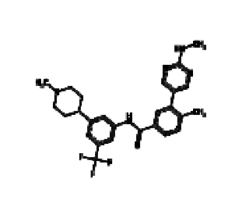 CNc1ncc(-c2cc(C(=O)Nc3cc(C4CCN(C)CC4)cc(C(F)(F)F)c3)ccc2C)cn1